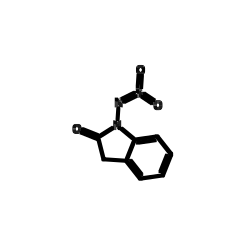 O=C1Cc2ccccc2N1N=S(=O)=O